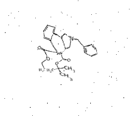 CCOC(=O)Cc1ccccc1[C@H]1CN(Cc2ccccc2)C[C@@H]1NC(=O)OC(C)(C)C